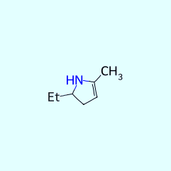 CCC1CC=C(C)N1